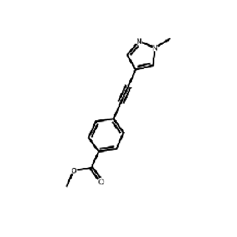 COC(=O)c1ccc(C#Cc2cnn(C)c2)cc1